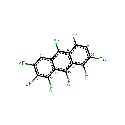 Fc1[c]c2c(F)c3c(F)[c]c(F)c(F)c3c(F)c2c(F)c1F